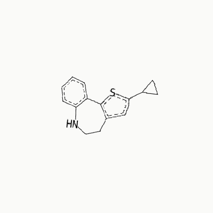 c1ccc2c(c1)NCCc1cc(C3CC3)sc1-2